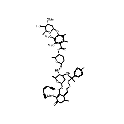 C#C/C=C\C#C[C@H](OC1CC(O)[C@H](NOC2CC[C@H](SC(=O)c3c(C)c(C)c(OC4C[C@H](OC)C(O)[C@H](C)O4)c(OC)c3OC)C(C)O2)C(C)O1)C1=C(NC)C(=O)CC(C)/C1=C/CSSC(C)(C)c1ccc(C(F)(F)F)cc1